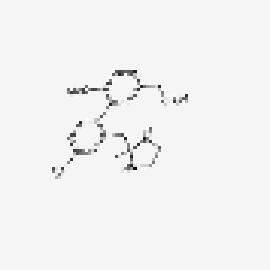 COc1ccc(CC(=O)O)cc1-c1ccc(C(F)(F)F)cc1CC1(C)NCCN1